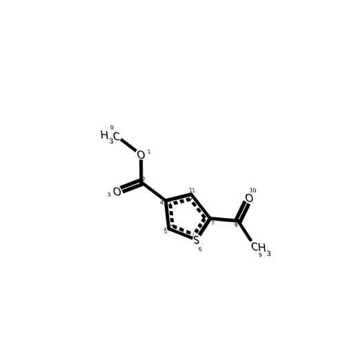 COC(=O)c1[c]sc(C(C)=O)c1